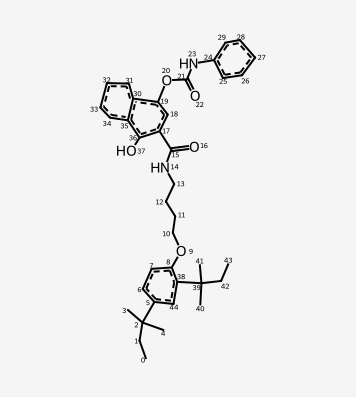 CCC(C)(C)c1ccc(OCCCCNC(=O)c2cc(OC(=O)Nc3ccccc3)c3ccccc3c2O)c(C(C)(C)CC)c1